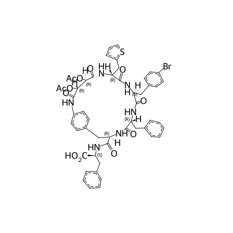 CC(=O)O[C@H]1C(=O)Nc2ccc(cc2)C[C@H](C(=O)N[C@@H](Cc2ccccc2)C(=O)O)NC(=O)[C@@H](Cc2ccccc2)NC(=O)[C@H](Cc2ccc(Br)cc2)NC(=O)[C@@H](Cc2cccs2)NC(=O)[C@@H]1OC(C)=O